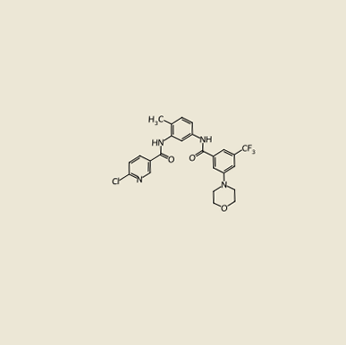 Cc1ccc(NC(=O)c2cc(N3CCOCC3)cc(C(F)(F)F)c2)cc1NC(=O)c1ccc(Cl)nc1